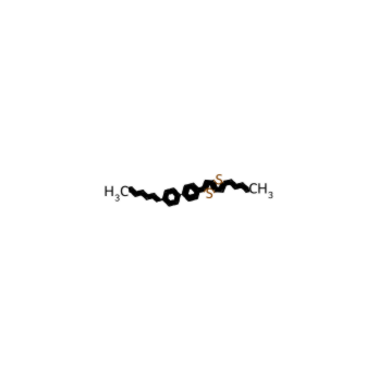 CCCCCCC[C@H]1CC[C@H](c2ccc(-c3cc4sc(CCCCC)cc4s3)cc2)CC1